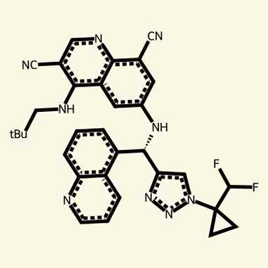 CC(C)(C)CNc1c(C#N)cnc2c(C#N)cc(N[C@H](c3cn(C4(C(F)F)CC4)nn3)c3cccc4ncccc34)cc12